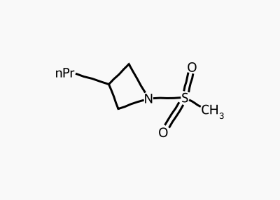 CCCC1CN(S(C)(=O)=O)C1